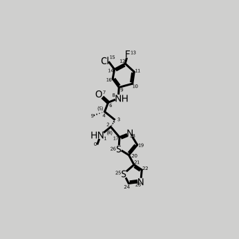 CN[C@H](C[C@H](C)C(=O)Nc1ccc(F)c(Cl)c1)c1ncc(-c2cncs2)s1